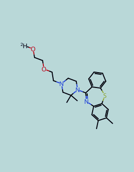 [2H]OCCOCCN1CCN(C2=Nc3cc(C)c(C)cc3Sc3ccccc32)C(C)(C)C1